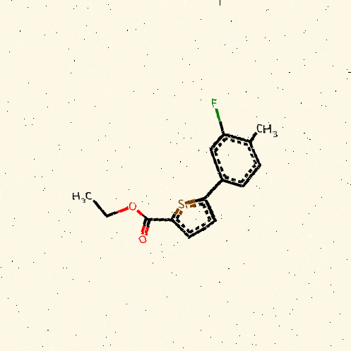 CCOC(=O)c1ccc(-c2ccc(C)c(F)c2)s1